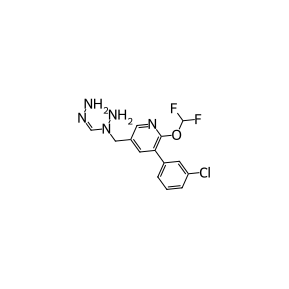 N/N=C\N(N)Cc1cnc(OC(F)F)c(-c2cccc(Cl)c2)c1